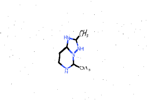 CC1NC2CCNC(C)N2N1